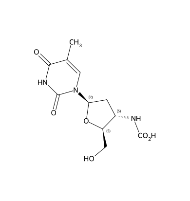 Cc1cn([C@H]2C[C@H](NC(=O)O)[C@@H](CO)O2)c(=O)[nH]c1=O